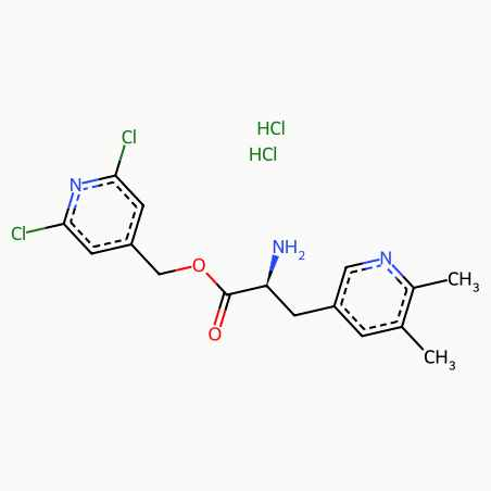 Cc1cc(C[C@H](N)C(=O)OCc2cc(Cl)nc(Cl)c2)cnc1C.Cl.Cl